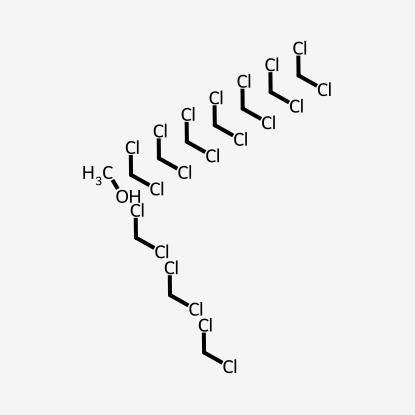 CO.ClCCl.ClCCl.ClCCl.ClCCl.ClCCl.ClCCl.ClCCl.ClCCl.ClCCl.ClCCl